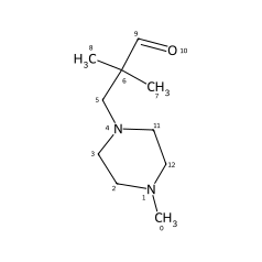 CN1CCN(CC(C)(C)C=O)CC1